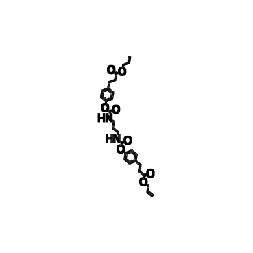 C=CCOC(=O)CCc1ccc(OC(=O)NCCCNC(=O)Oc2ccc(CCC(=O)OCC=C)cc2)cc1